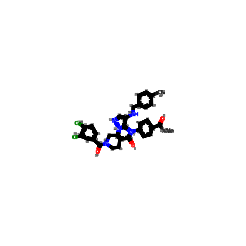 CNC(=O)c1ccc(-n2c(=O)c3c(n4ncc(NCc5ccc(C#N)cc5)c24)CN(C(=O)c2ccc(Cl)c(Cl)c2)CC3)cc1